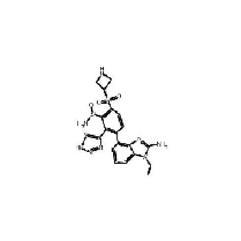 CCn1c(N)nc2c(-c3ccc(S(=O)(=O)C4CNC4)c([S+](N)[O-])c3-c3nn[nH]n3)cccc21